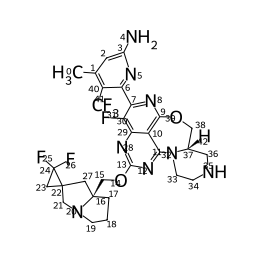 Cc1cc(N)nc(-c2nc3c4c(nc(OC[C@@]56CCCN5CC5(CC5(F)F)C6)nc4c2F)N2CCNC[C@H]2CO3)c1C(F)(F)F